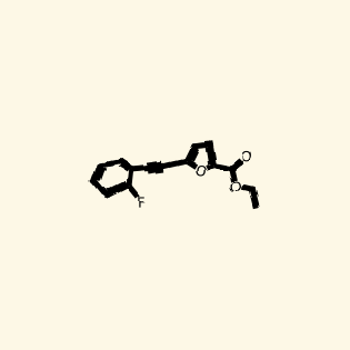 CCOC(=O)c1ccc(C#Cc2ccccc2F)o1